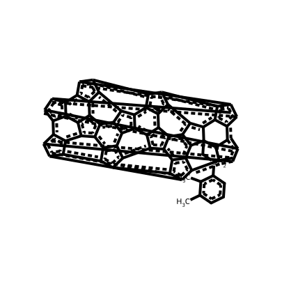 Cc1cccc([SiH2]CC23c4c5c6c7c8c9c(c%10c%11c2c2c4c4c%12c5c5c6c6c8c8c%13c9c9c%10c%10c%11c%11c2c2c4c4c%12c%12c5c5c6c8c6c8c%13c9c9c%10c%10c%11c2c2c4c4c%12c5c6c5c8c9c%10c2c45)C73)c1C